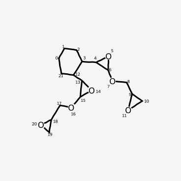 C1CCC(C2OC2OCC2CO2)C(C2OC2OCC2CO2)C1